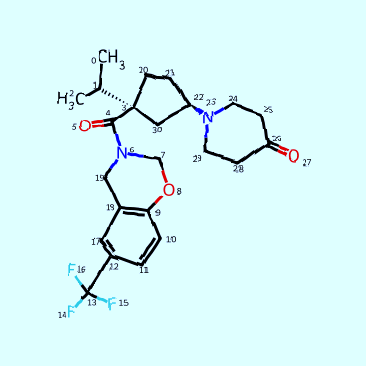 CC(C)[C@]1(C(=O)N2COc3ccc(C(F)(F)F)cc3C2)CC[C@@H](N2CCC(=O)CC2)C1